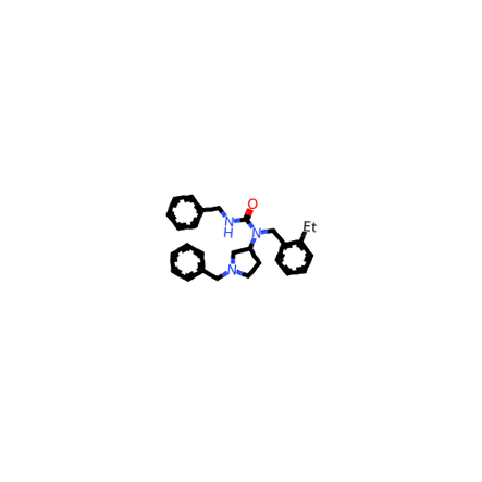 CCc1ccccc1CN(C(=O)NCc1ccccc1)C1CCN(Cc2ccccc2)C1